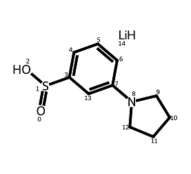 O=S(O)c1cccc(N2CCCC2)c1.[LiH]